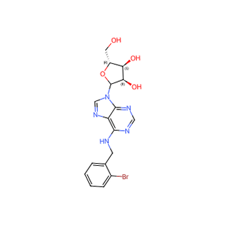 OC[C@H]1OC(n2cnc3c(NCc4ccccc4Br)ncnc32)[C@H](O)[C@@H]1O